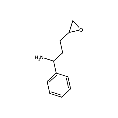 NC(CCC1CO1)c1ccccc1